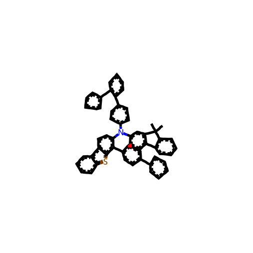 CC1(C)c2ccccc2-c2ccc(N(c3ccc(-c4ccccc4-c4ccccc4)cc3)c3ccc4c(sc5ccccc54)c3-c3ccc(-c4ccccc4)cc3)cc21